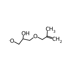 C=C(C)COCC(O)C[O]